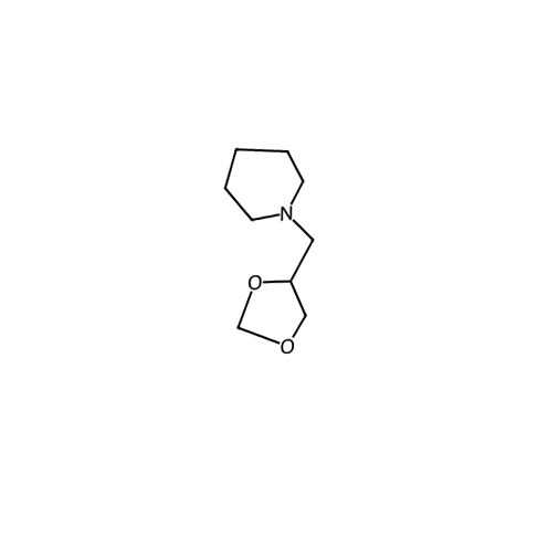 C1CCN(CC2COCO2)CC1